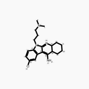 CN(C)CCCn1c2c(c3cc(Cl)ccc31)=C(N)C1CCCCC1N=2